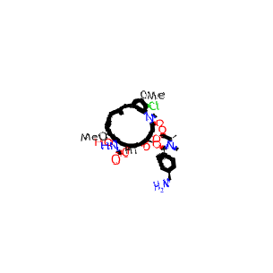 COc1cc2cc(c1Cl)N(C)C(=O)C[C@H](OC(=O)[C@H](C)N(C)C(=O)[C@H]1CC[C@H](CN)CC1)[C@]1(C)OC1[C@H](C)[C@@H]1C[C@@](O)(NC(=O)O1)[C@H](OC)/C=C/C=C(\C)C2